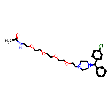 CC(=O)NCCOCCOCCOCCOCCN1CCN(C(c2ccccc2)c2ccc(Cl)cc2)CC1